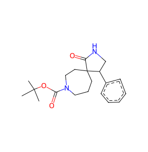 CC(C)(C)OC(=O)N1CCCC2(CC1)C(=O)NCC2c1ccccc1